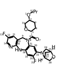 CC(C)O[C@H]1CC[C@H](C(=O)N2Cc3cc(F)cnc3Nc3cc(F)c(N4C[C@@H]5C[C@H]4CO5)cc32)OC1